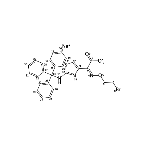 O=C([O-])C(=NOCCBr)c1csc(NC(c2ccccc2)(c2ccccc2)c2ccccc2)n1.[Na+]